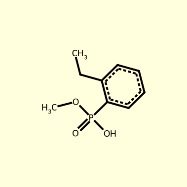 CCc1ccccc1P(=O)(O)OC